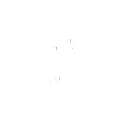 BC(=O)[C@@H](N)CCCCNF